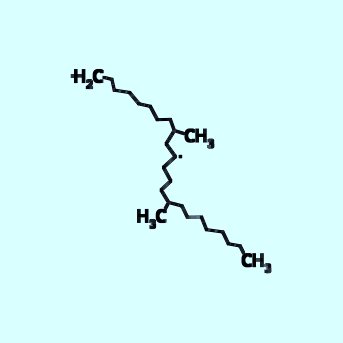 [CH2]CCCCCCCC(C)C[CH]CCCC(C)CCCCCCCC